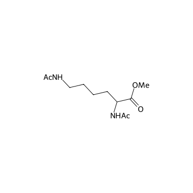 COC(=O)C(CCCCNC(C)=O)NC(C)=O